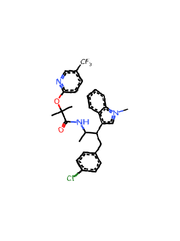 CC(NC(=O)C(C)(C)Oc1ccc(C(F)(F)F)cn1)C(Cc1ccc(Cl)cc1)c1cn(C)c2ccccc12